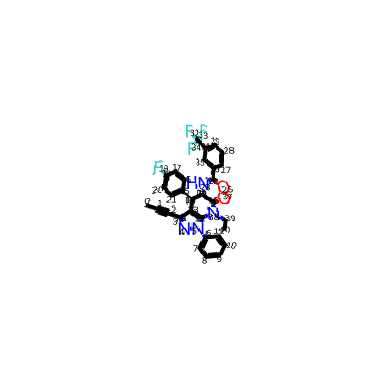 CC#Cc1nn(-c2ccccc2)c2c1[C@@H](c1ccc(F)cc1)[C@@H](NC(=O)c1cccc(C(F)(F)F)c1)C(=O)N2CC